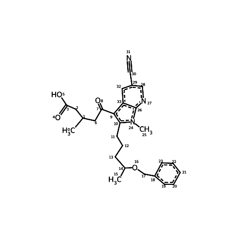 CC(CC(=O)O)CC(=O)c1c(CCCC(C)OCc2ccccc2)n(C)c2ncc(C#N)cc12